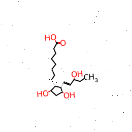 CC[C@H](O)/C=C/[C@H]1[C@@H](CCCCCCCC(=O)O)[C@H](O)C[C@@H]1O